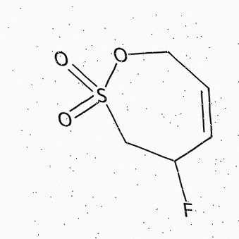 O=S1(=O)CC(F)C=CCO1